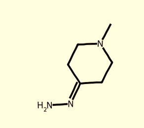 CN1CCC(=NN)CC1